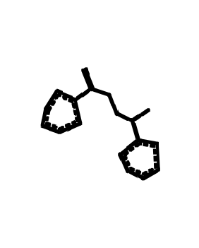 C=C(CCC(C)c1ccccc1)c1ccccc1